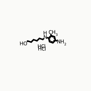 Cc1cc(N)ccc1NCCCCCCO.Cl.Cl